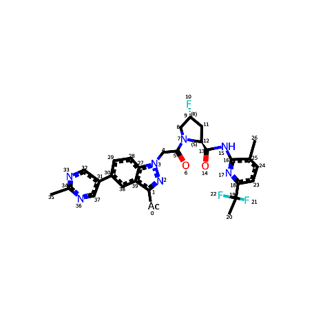 CC(=O)c1nn(CC(=O)N2C[C@H](F)C[C@H]2C(=O)Nc2nc(C(C)(F)F)ccc2C)c2ccc(-c3cnc(C)nc3)cc12